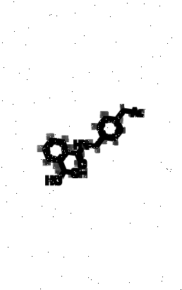 CC(=O)Cc1ccc(CNC(=O)c2ccccc2C(O)O)cc1